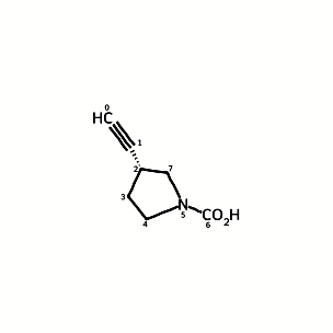 C#C[C@H]1CCN(C(=O)O)C1